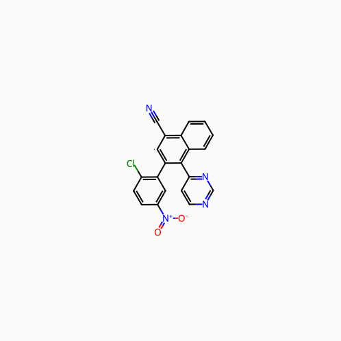 N#Cc1[c]c(-c2cc([N+](=O)[O-])ccc2Cl)c(-c2ccncn2)c2ccccc12